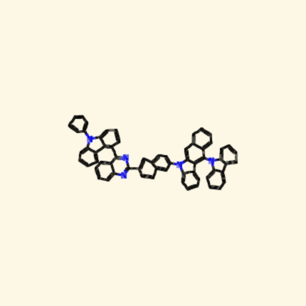 c1ccc(-n2c3ccccc3c3c(-c4nc(-c5ccc6cc(-n7c8ccccc8c8c(-n9c%10ccccc%10c%10ccccc%109)c9ccccc9cc87)ccc6c5)nc5ccccc45)cccc32)cc1